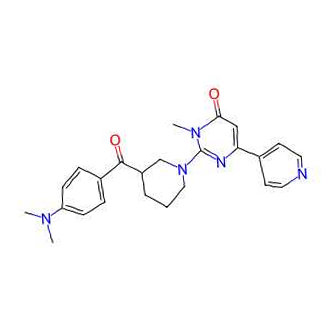 CN(C)c1ccc(C(=O)C2CCCN(c3nc(-c4ccncc4)cc(=O)n3C)C2)cc1